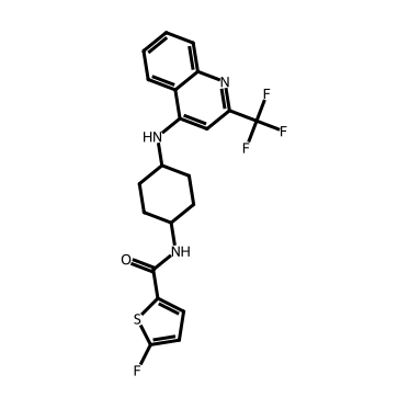 O=C(NC1CCC(Nc2cc(C(F)(F)F)nc3ccccc23)CC1)c1ccc(F)s1